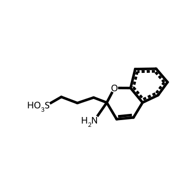 NC1(CCCS(=O)(=O)O)C=Cc2ccccc2O1